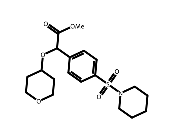 COC(=O)C(OC1CCOCC1)c1ccc(S(=O)(=O)N2CCCCC2)cc1